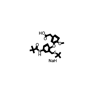 COc1ccc(CC(=O)O)cc1Oc1ccc(NC(=O)C(C)(C)C)cc1CSC(C)(C)C.[NaH]